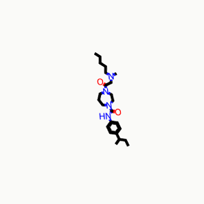 CCCCCN(C)CC(=O)N1CCCN(C(=O)Nc2ccc(C(C)CC)cc2)CC1